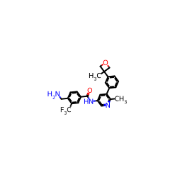 Cc1ncc(NC(=O)c2ccc(CN)c(C(F)(F)F)c2)cc1-c1cccc(C2(C)COC2)c1